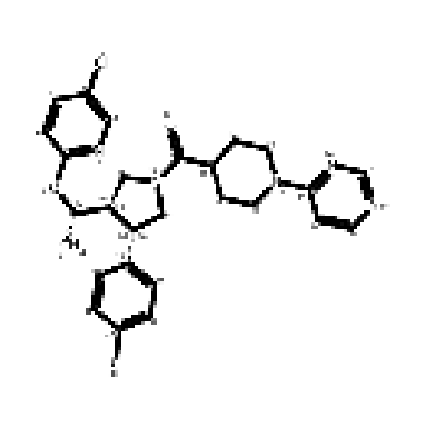 C[C@H](Oc1ccc(Cl)cn1)[C@H]1CN(C(=O)C2CCN(c3ccncn3)CC2)C[C@@H]1c1ccc(Cl)cc1